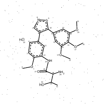 COc1ccc(-c2cnsc2-c2cc(OC)c(OC)c(OC)c2)cc1NC(=O)C(N)C(C)O.Cl